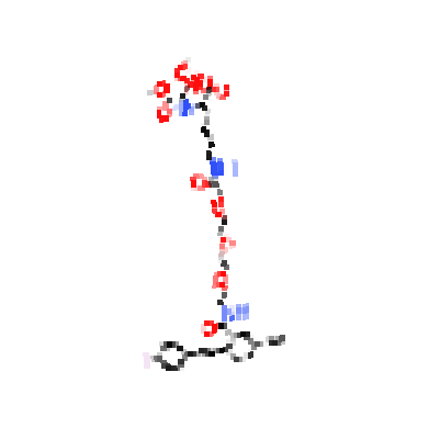 C#Cc1ccc(C#Cc2ccc(I)cc2)c(C(=O)NCCOCCOCCOCC(=O)NCCCCC(NC(C(=O)OC)C(=O)OC)C(=O)O)c1